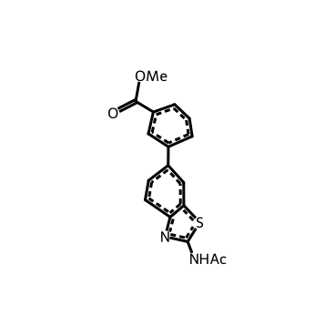 COC(=O)c1cccc(-c2ccc3nc(NC(C)=O)sc3c2)c1